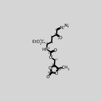 CCOC(=O)[C@H](CCC(=O)C=[N+]=[N-])NC(=O)OCc1oc(=O)oc1C